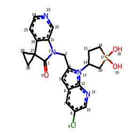 O=C1N(Cc2cc3cc(Cl)cnc3n2C2CCS(O)(O)C2)c2cnccc2C12CC2